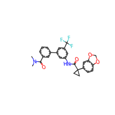 CN(C)C(=O)c1cccc(-c2cc(NC(=O)C3(c4ccc5c(c4)OCO5)CC3)cc(C(F)(F)F)c2)c1